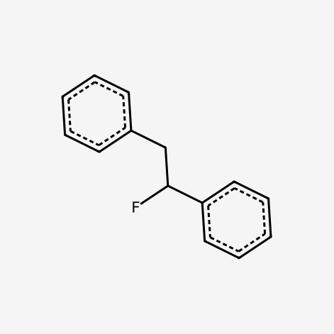 FC(Cc1ccccc1)c1ccccc1